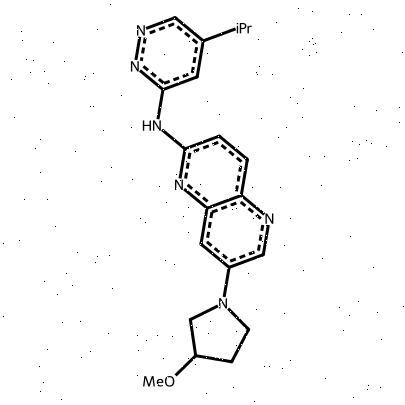 COC1CCN(c2cnc3ccc(Nc4cc(C(C)C)cnn4)nc3c2)C1